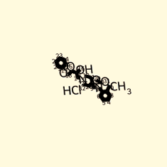 CCc1ccccc1N1CC2(CCN(CC(O)C3COc4ccccc4O3)CC2)OC1=O.Cl